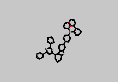 c1ccc(-c2cc(-c3cccc4sc5cc(-c6ccc(N(c7ccccc7)c7ccccc7-c7ccccc7)cc6)ccc5c34)nc(-c3ccccc3)n2)cc1